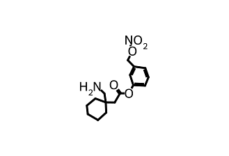 NCC1(CC(=O)Oc2cccc(CO[N+](=O)[O-])c2)CCCCC1